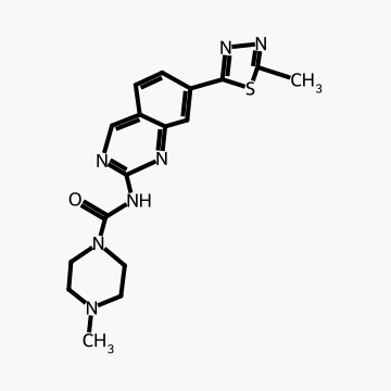 Cc1nnc(-c2ccc3cnc(NC(=O)N4CCN(C)CC4)nc3c2)s1